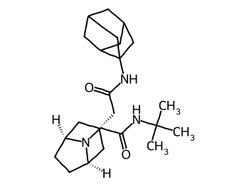 CC(C)(C)NC(=O)CN1[C@@H]2CC[C@H]1C[C@H](CC(=O)NC13CC4CC(CC1C4)C3)C2